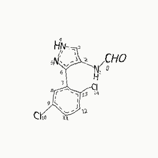 O=CNc1c[nH]nc1-c1cc(Cl)ccc1Cl